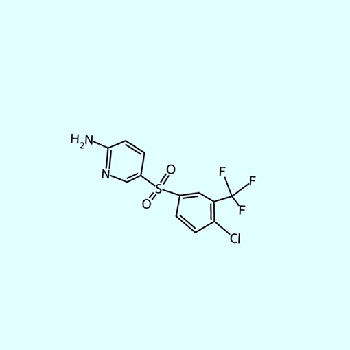 Nc1ccc(S(=O)(=O)c2ccc(Cl)c(C(F)(F)F)c2)cn1